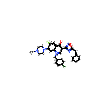 CN1CCN(c2cc3c(cc2F)c(=O)c(-c2noc(Cc4ccccc4)n2)cn3Cc2ccc(Cl)cc2)CC1